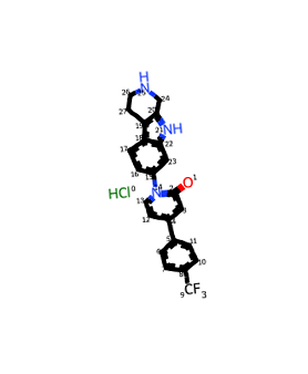 Cl.O=c1cc(-c2ccc(C(F)(F)F)cc2)ccn1-c1ccc2c3c([nH]c2c1)CNCC3